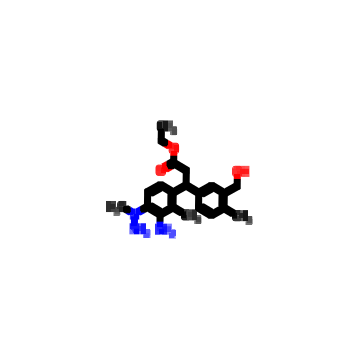 CCOC(=O)CC(c1ccc(C)c(CO)c1)c1ccc(N(C)N)c(N)c1C